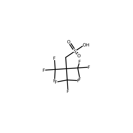 O=S(=O)(O)CC(C(F)(F)F)(C(F)(F)F)C(F)(F)F